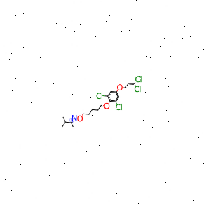 C/C(=N\OCCCCCOc1c(Cl)cc(OCC=C(Cl)Cl)cc1Cl)C(C)C